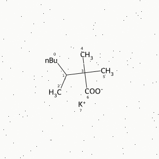 CCCCC(C)C(C)(C)C(=O)[O-].[K+]